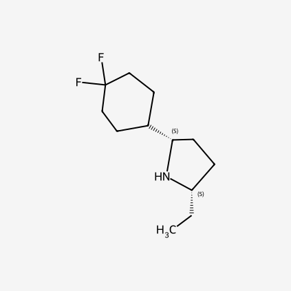 CC[C@H]1CC[C@@H](C2CCC(F)(F)CC2)N1